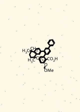 COCOc1cccc(-c2ccc(-c3ccccc3)cc2-c2ccc3c(c2)C(C)(C)CCC3(C)C)c1C(=O)O